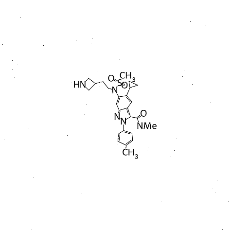 CNC(=O)c1c2cc(C3CC3)c(N(CCC3CNC3)S(C)(=O)=O)cc2nn1-c1ccc(C)cc1